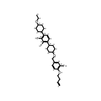 C=CCCOc1ccc(COC2CCC(c3ccc(C4CCC(OCC)CC4)c(F)c3F)CC2)cc1F